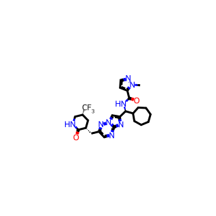 Cn1nccc1C(=O)N[C@H](c1cn2nc(C[C@H]3C[C@@H](C(F)(F)F)CNC3=O)cnc2n1)C1CCCCCC1